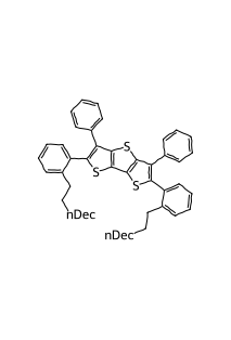 CCCCCCCCCCCCc1ccccc1-c1sc2c(sc3c(-c4ccccc4)c(-c4ccccc4CCCCCCCCCCCC)sc32)c1-c1ccccc1